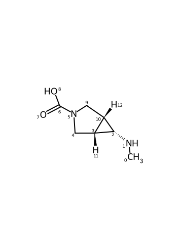 CN[C@@H]1[C@@H]2CN(C(=O)O)C[C@@H]21